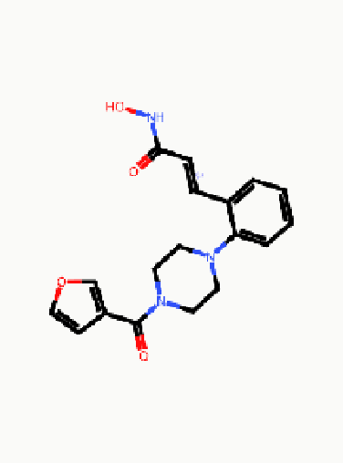 O=C(/C=C/c1ccccc1N1CCN(C(=O)c2ccoc2)CC1)NO